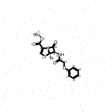 CC(C)(C)OC(=O)C1=CS[C@@H]2[C@H](NC(=O)COc3ccccc3)C(=O)N12